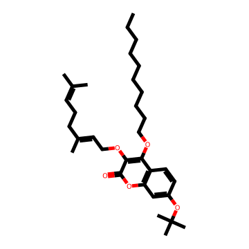 CCCCCCCCCCOc1c(OC/C=C(\C)CCC=C(C)C)c(=O)oc2cc(OC(C)(C)C)ccc12